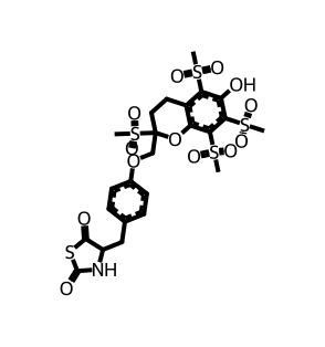 CS(=O)(=O)c1c(O)c(S(C)(=O)=O)c(S(C)(=O)=O)c2c1CCC(COc1ccc(CC3NC(=O)SC3=O)cc1)(S(C)(=O)=O)O2